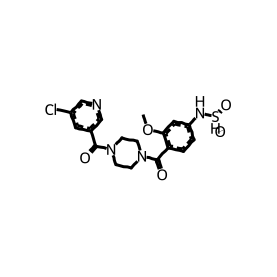 COc1cc(N[SH](=O)=O)ccc1C(=O)N1CCN(C(=O)c2cncc(Cl)c2)CC1